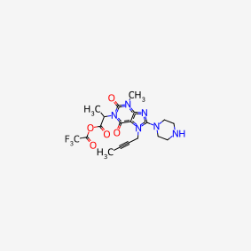 CC#CCn1c(N2CCNCC2)nc2c1c(=O)n(C(C)C(=O)OC(=O)C(F)(F)F)c(=O)n2C